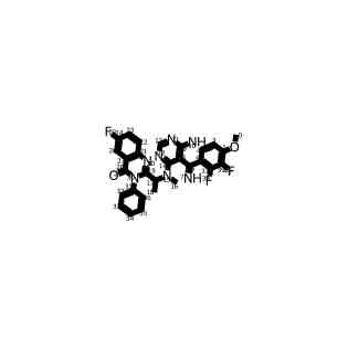 COc1ccc(C(=N)c2c(N)ncnc2N(C)C(C)c2nc3ccc(F)cc3c(=O)n2-c2ccccc2)c(F)c1F